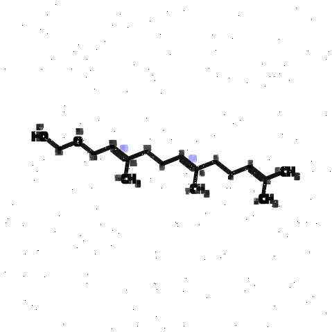 CC(C)=CCC/C(C)=C/CC/C(C)=C/COCO